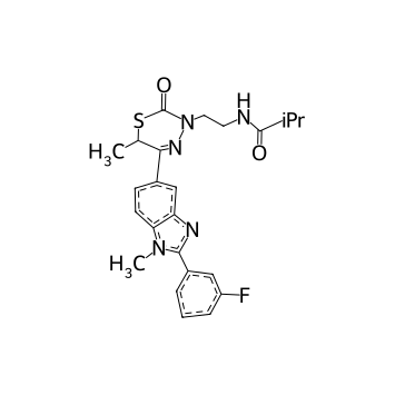 CC(C)C(=O)NCCN1N=C(c2ccc3c(c2)nc(-c2cccc(F)c2)n3C)C(C)SC1=O